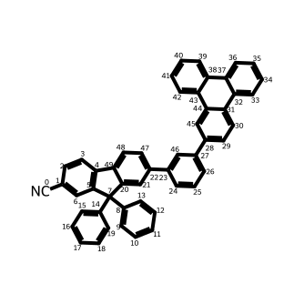 N#Cc1ccc2c(c1)C(c1ccccc1)(c1ccccc1)c1cc(-c3cccc(-c4ccc5c6ccccc6c6ccccc6c5c4)c3)ccc1-2